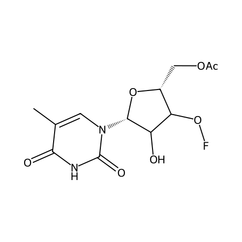 CC(=O)OC[C@H]1O[C@@H](n2cc(C)c(=O)[nH]c2=O)C(O)C1OF